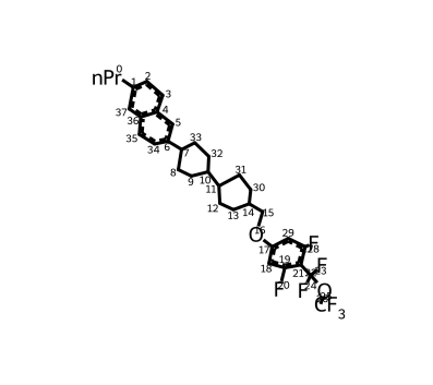 CCCc1ccc2cc(C3CCC(C4CCC(COc5cc(F)c(C(F)(F)OC(F)(F)F)c(F)c5)CC4)CC3)ccc2c1